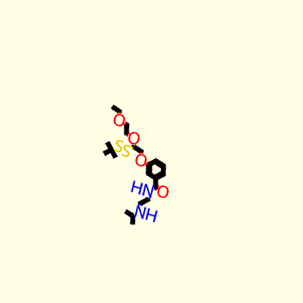 CCOCCOC(COc1cccc(C(=O)NCCNC(C)C)c1)SSC(C)(C)C